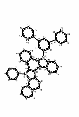 c1ccc(-n2c3c4ccccc4ccc3c3c4c5ccccc5n(-c5cc(-c6cccnc6)cc(-c6ccccn6)c5)c4c4ccccc4c32)cc1